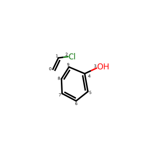 C=CCl.Oc1ccccc1